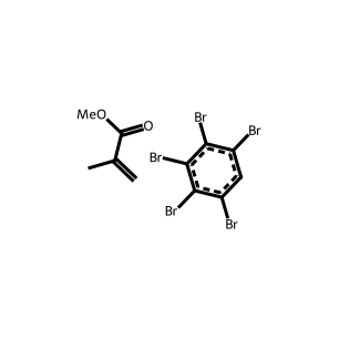 Brc1cc(Br)c(Br)c(Br)c1Br.C=C(C)C(=O)OC